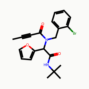 CC#CC(=O)N(Cc1ccccc1Br)C(C(=O)NC(C)(C)C)c1ccco1